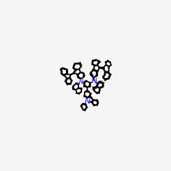 c1ccc(-n2c3ccccc3c3cc(-c4cc(N(c5ccc6c(c5)C(=C5c7ccccc7-c7ccccc75)c5ccccc5-6)c5cccc6ccccc56)cc(N(c5ccc6c(c5)C(C5c7ccccc7-c7ccccc75)c5ccccc5-6)c5cccc6ccccc56)c4)ccc32)cc1